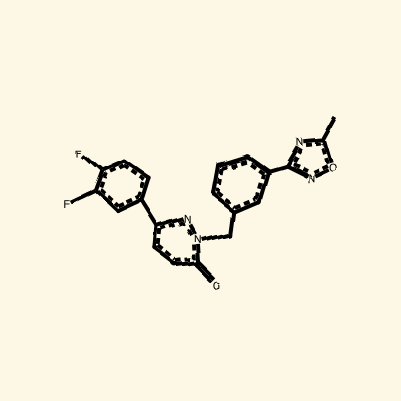 Cc1nc(-c2cccc(Cn3nc(-c4ccc(F)c(F)c4)ccc3=O)c2)no1